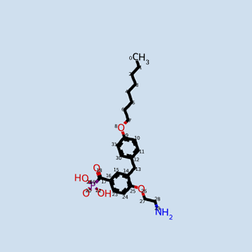 CCCCCCCCOc1ccc(Cc2cc(C(=O)P(=O)(O)O)ccc2OCCN)cc1